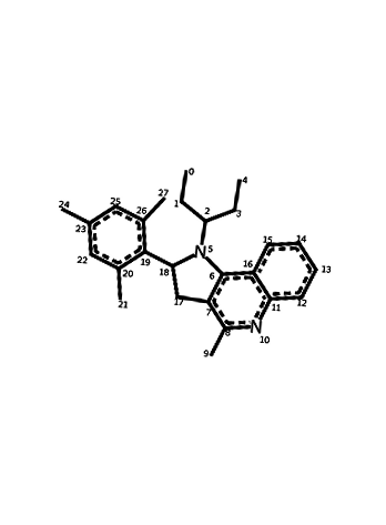 CCC(CC)N1c2c(c(C)nc3ccccc23)CC1c1c(C)cc(C)cc1C